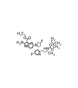 CCOC(=O)c1c(N)nn2ccc(N3C[C@@H](F)C[C@@H]3c3cc(F)cnc3CC[C@@H](C)NC(=O)OC(C)(C)C)nc12